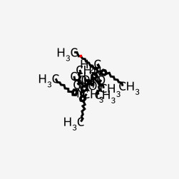 C=C/C(=C\C=C\CCCCCCCC)N(c1ccc(CCCCCCCC)cc1)c1ccc(C2=C([O-])/C(=C3C=C/C(=[N+](/c4ccc(CCCCCCCC)cc4)c4ccc(CCCCCCCC)cc4C)C=C/3NC(=O)C(CC)CCCC)C2=O)c(NC(=O)C(CC)CCCC)c1